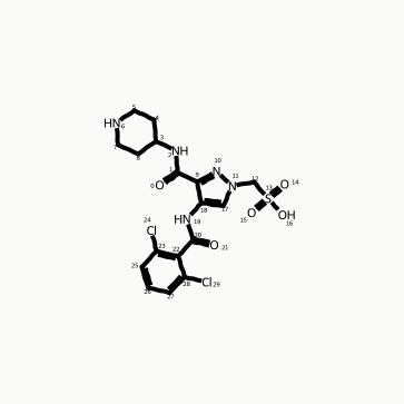 O=C(NC1CCNCC1)c1nn(CS(=O)(=O)O)cc1NC(=O)c1c(Cl)cccc1Cl